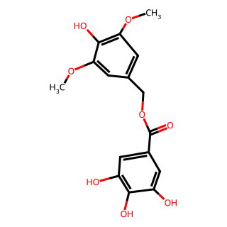 COc1cc(COC(=O)c2cc(O)c(O)c(O)c2)cc(OC)c1O